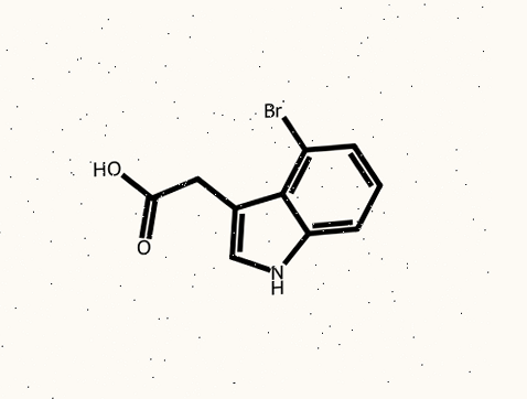 O=C(O)Cc1c[nH]c2cccc(Br)c12